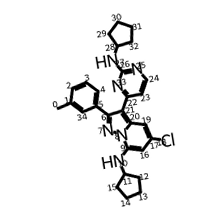 Cc1cccc(-c2nn3c(NC4CCCC4)cc(Cl)cc3c2-c2ccnc(NC3CCCC3)n2)c1